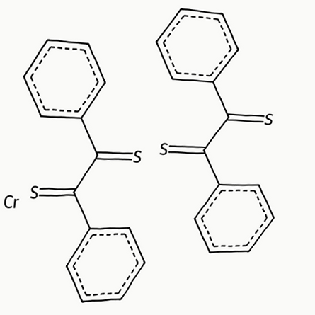 S=C(C(=S)c1ccccc1)c1ccccc1.S=C(C(=S)c1ccccc1)c1ccccc1.[Cr]